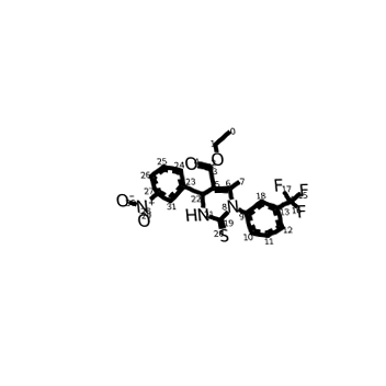 CCOC(=O)C1=C(C)N(c2cccc(C(F)(F)F)c2)C(=S)NC1c1cccc([N+](=O)[O-])c1